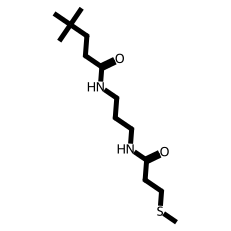 CSCCC(=O)NCCCNC(=O)CCC(C)(C)C